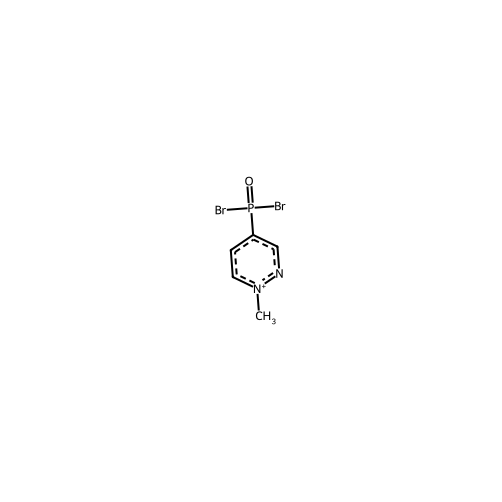 C[n+]1ccc(P(=O)(Br)Br)cn1